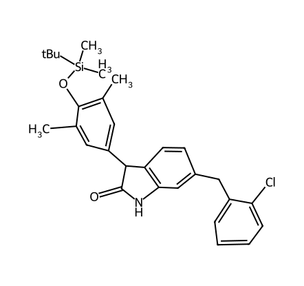 Cc1cc(C2C(=O)Nc3cc(Cc4ccccc4Cl)ccc32)cc(C)c1O[Si](C)(C)C(C)(C)C